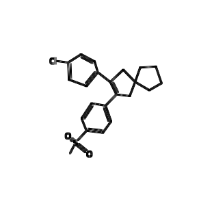 CS(=O)(=O)c1ccc(C2=C(c3ccc(Cl)cc3)CC3(CCCC3)C2)cc1